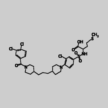 CSCCC(NS(=O)(=O)c1ccc(N2CCC(CCCC3CCN(C(=O)c4ccc(Cl)c(Cl)c4)CC3)CC2)c(Cl)c1)C(=O)O